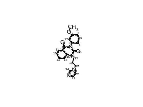 COc1cccc(-n2c(=O)c3ccccc3n(CCCn3ccnc3)c2=O)c1